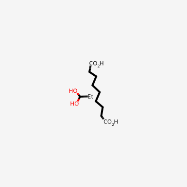 CCC(O)O.O=C(O)CCCCCCCC(=O)O